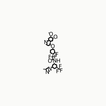 COc1cc2nccc(Oc3ccc(C(F)(F)C(=O)Nc4cc(-n5cnc(C)c5)cc(C(F)(F)F)c4)c(F)c3)c2cc1OC